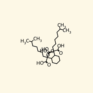 CC(C)CCCCCC(C(=O)O)(C(=O)O)C1CCCCC1C(CCCCCC(C)C)(C(=O)O)C(=O)O